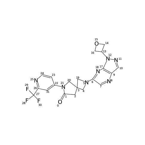 O=C1CC2(CN(c3cnc4cnn(C5COC5)c4n3)C2)CN1c1ccnc(C(F)(F)F)c1